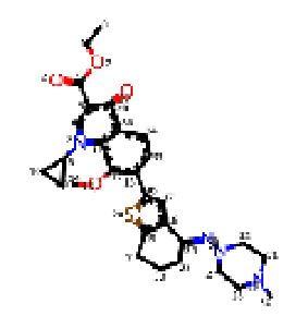 CCOC(=O)c1cn(C2CC2)c2c(OC)c(-c3cc4c(s3)CCCC4=NN3CCN(C)CC3)ccc2c1=O